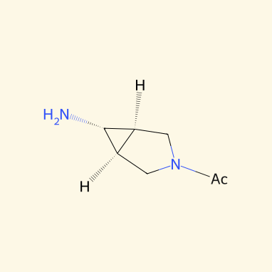 CC(=O)N1C[C@@H]2[C@@H](N)[C@@H]2C1